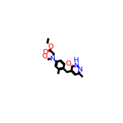 CCOC(=O)CN(C=O)c1ccc(Cc2cc(C)n[nH]c2=O)c(C)c1